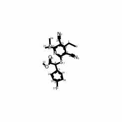 CCc1c(C#N)c(SC(C(=O)OC)c2ccc(F)cc2)nc(N(C)C)c1C#N